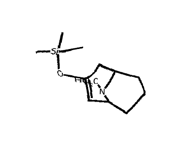 C[Si](C)(C)OC1=CC2CCCC(C1)N2C(=O)O